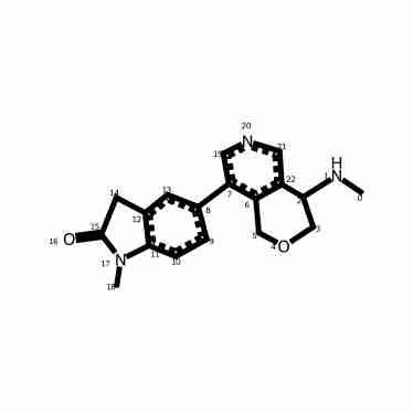 CNC1COCc2c(-c3ccc4c(c3)CC(=O)N4C)cncc21